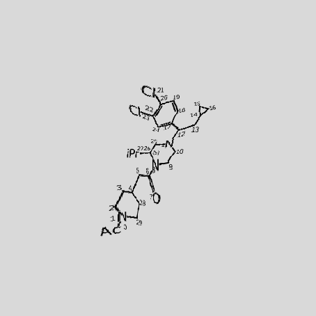 CC(=O)N1CCC(CC(=O)N2CCN(C(CC3CC3)c3ccc(Cl)c(Cl)c3)C[C@@H]2C(C)C)CC1